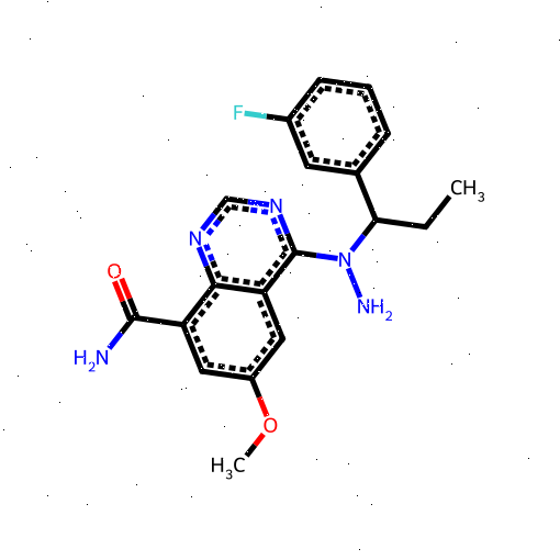 CCC(c1cccc(F)c1)N(N)c1ncnc2c(C(N)=O)cc(OC)cc12